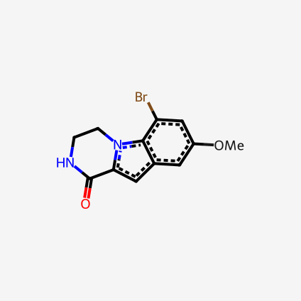 COc1cc(Br)c2c(c1)cc1n2CCNC1=O